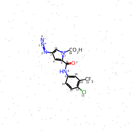 [N-]=[N+]=Nc1cc(C(=O)Nc2ccc(Cl)c(C(F)(F)F)c2)n(C(=O)O)c1